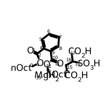 CCCCCCCCOC(=O)c1ccccc1C(=O)OCCCCCCCC.O=C(O)CC(C(=O)O)S(=O)(=O)O.[MgH2]